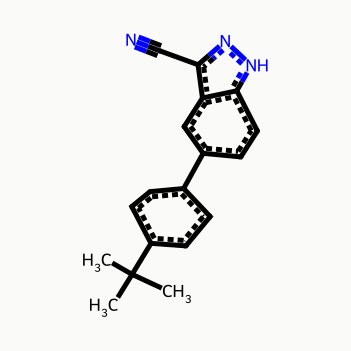 CC(C)(C)c1ccc(-c2ccc3[nH]nc(C#N)c3c2)cc1